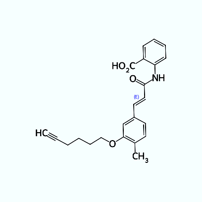 C#CCCCCOc1cc(/C=C/C(=O)Nc2ccccc2C(=O)O)ccc1C